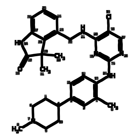 Cc1cc(C2CCN(C)CC2)ccc1Nc1ncc(Cl)c(NCc2cccc3c2C(C)(C)C(=O)N3)n1